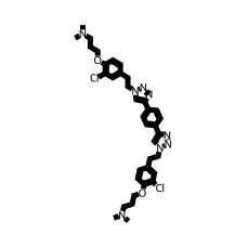 CN(C)CCCOc1ccc(CCn2cc(-c3ccc(-c4cn(CCc5ccc(OCCCN(C)C)c(Cl)c5)nn4)cc3)nn2)cc1Cl